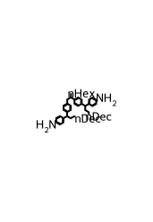 CCCCCCCCCCCCC(c1ccc(N)cc1)c1ccc(CC(CCCCCC)c2ccc(C(CCCCCCCCCCCC)c3ccc(N)cc3)cc2)cc1